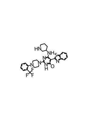 O=c1[nH]c(N2CCN(c3ccccc3C(F)(F)F)CC2)nc(NC2CCCNC2)c1-c1nc2ccccc2s1